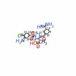 CC(=O)O.N=C(N)c1cccc(C(=O)N2CCN(S(=O)(=O)c3ccc(Cl)c(N)c3)CC2)c1